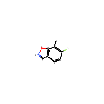 Cc1c(F)ccc2cnoc12